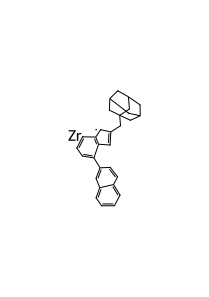 [CH]1C(CC23CC4CC(CC(C4)C2)C3)=Cc2c1cccc2-c1ccc2ccccc2c1.[Zr]